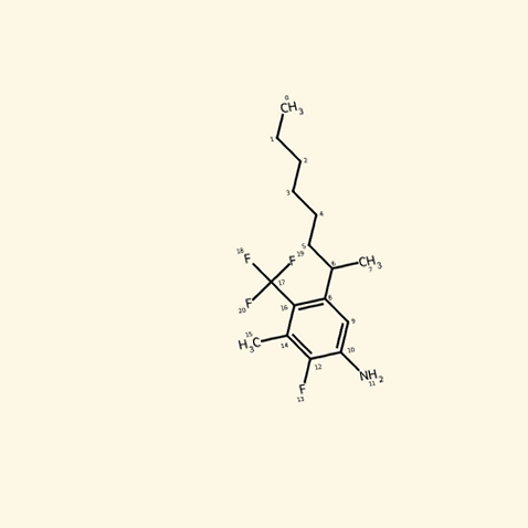 CCCCCCC(C)c1cc(N)c(F)c(C)c1C(F)(F)F